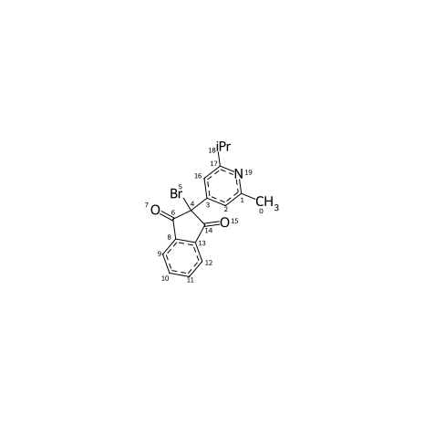 Cc1cc(C2(Br)C(=O)c3ccccc3C2=O)cc(C(C)C)n1